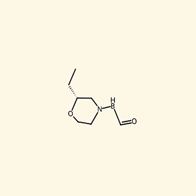 CC[C@@H]1CN(BC=O)CCO1